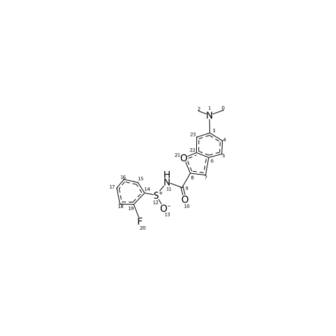 CN(C)c1ccc2cc(C(=O)N[S+]([O-])c3ccccc3F)oc2c1